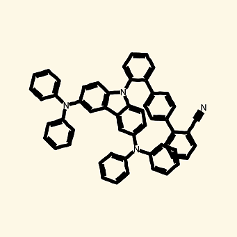 N#Cc1ccccc1-c1ccc(-c2ccccc2-n2c3ccc(N(c4ccccc4)c4ccccc4)cc3c3cc(N(c4ccccc4)c4ccccc4)ccc32)cc1